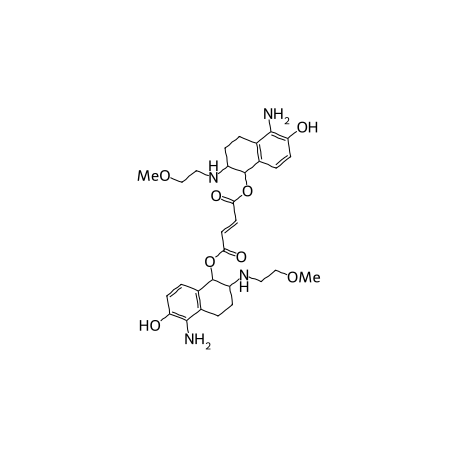 COCCNC1CCc2c(ccc(O)c2N)C1OC(=O)/C=C/C(=O)OC1c2ccc(O)c(N)c2CCC1NCCOC